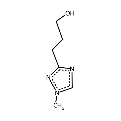 Cn1cnc(CCCO)n1